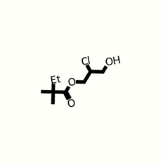 CCC(C)(C)C(=O)OCC(Cl)CO